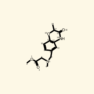 COC(=O)CN(C)Cc1ccc2c(c1)NC(=O)C(C)O2